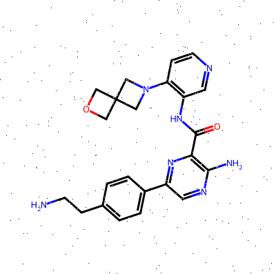 NCCc1ccc(-c2cnc(N)c(C(=O)Nc3cnccc3N3CC4(COC4)C3)n2)cc1